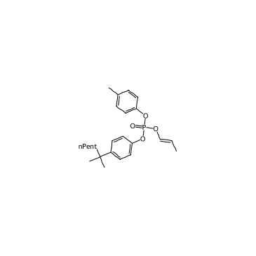 CC=COP(=O)(Oc1ccc(C)cc1)Oc1ccc(C(C)(C)CCCCC)cc1